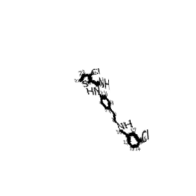 N=C(Nc1ccc(CCNCc2cccc(Cl)c2)cc1)c1sccc1Cl